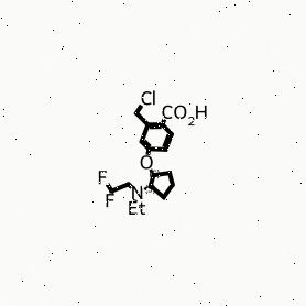 CCN(CC(F)F)[C@H]1CCC[C@@H]1Oc1ccc(C(=O)O)c(CCl)c1